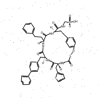 O=C1COc2ccc(cc2)C[C@H](C(=O)NCS(=O)(=O)O)NC(=O)[C@@H](CCc2ccccc2)NC(=O)[C@H](Cc2ccc(-c3ccccc3)cc2)NC(=O)[C@@H](Cc2cccs2)N1